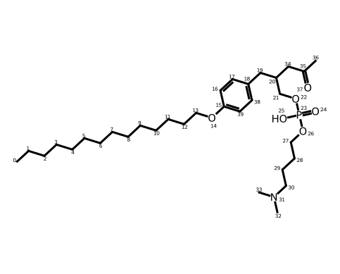 CCCCCCCCCCCCCCOc1ccc(CC(COP(=O)(O)OCCCCN(C)C)CC(C)=O)cc1